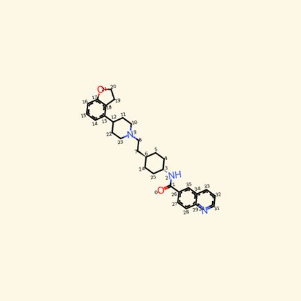 O=C(N[C@H]1CC[C@H](CCN2CCC(c3cccc4c3CCO4)CC2)CC1)c1ccc2ncccc2c1